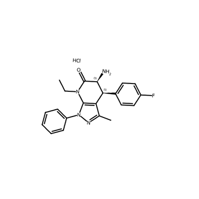 CCN1C(=O)[C@@H](N)[C@@H](c2ccc(F)cc2)c2c(C)nn(-c3ccccc3)c21.Cl